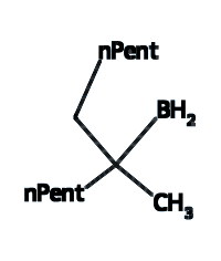 BC(C)(CCCCC)CCCCCC